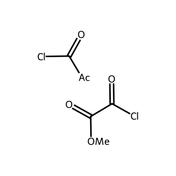 CC(=O)C(=O)Cl.COC(=O)C(=O)Cl